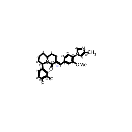 COc1cc(/C=C2\CCC3CCCC(c4ccc(F)c(F)c4)N3C2=O)ccc1-n1cnc(C)c1